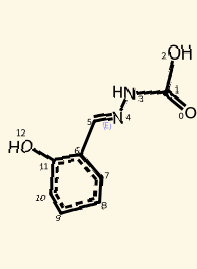 O=C(O)N/N=C/c1ccccc1O